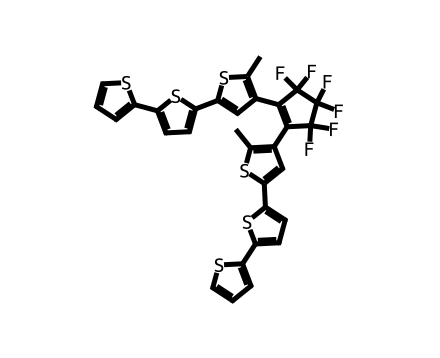 Cc1sc(-c2ccc(-c3cccs3)s2)cc1C1=C(c2cc(-c3ccc(-c4cccs4)s3)sc2C)C(F)(F)C(F)(F)C1(F)F